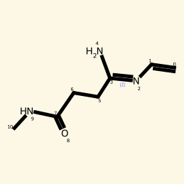 C=C/N=C(\N)CCC(=O)NC